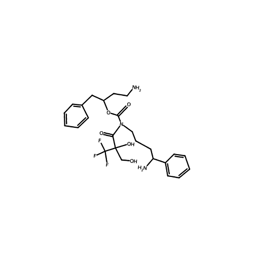 NCCC(Cc1ccccc1)OC(=O)N(CCCC(N)c1ccccc1)C(=O)C(O)(CO)C(F)(F)F